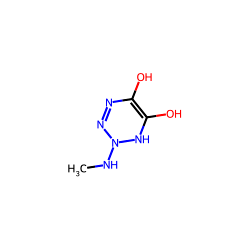 CNN1N=NC(O)=C(O)N1